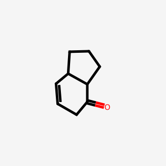 O=C1CC=CC2CCCC12